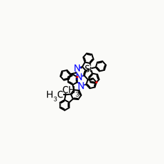 CC1(C)c2ccccc2-c2ccc3c(c21)c1ccccc1n3-c1ccccc1-c1nc(-c2ccccc2)nc2c1[Si](c1ccccc1)(c1ccccc1)c1ccccc1-2